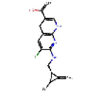 C=C(O)C1=CNc2nc(NC[C@H]3C(=C)C3CC)c(F)cc2C1